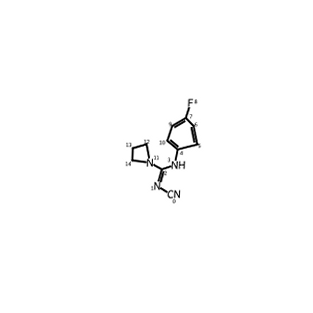 N#C/N=C(\Nc1ccc(F)cc1)N1CCC1